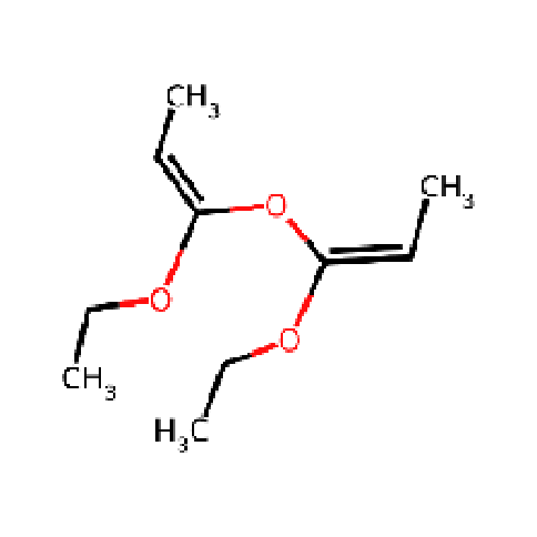 C/C=C(/OCC)O/C(=C\C)OCC